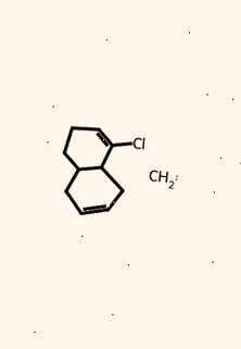 ClC1=CCCC2CC=CCC12.[CH2]